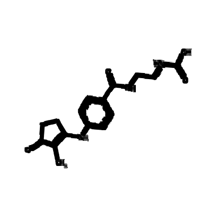 CC1=C(Nc2ccc(C(=O)NCCNC(=O)O)cc2)CCC1=O